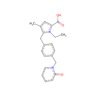 CCn1c(C(=O)O)cc(C)c1Cc1ccc(Cn2ccccc2=O)cc1